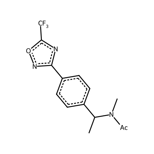 CC(=O)N(C)C(C)c1ccc(-c2noc(C(F)(F)F)n2)cc1